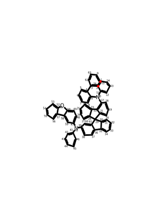 c1ccc(-c2ccccc2N(c2ccccc2)c2cccc3c2-c2ccccc2C32c3ccccc3-c3ccc(N(c4ccccc4)c4ccc5oc6ccccc6c5c4)cc32)cc1